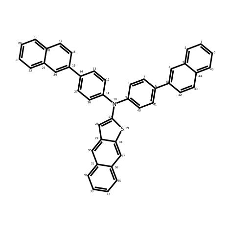 c1ccc2cc(-c3ccc(N(c4ccc(-c5ccc6ccccc6c5)cc4)c4cc5cc6ccccc6cc5s4)cc3)ccc2c1